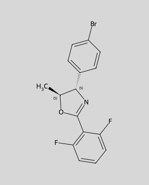 C[C@@H]1OC(c2c(F)cccc2F)=N[C@H]1c1ccc(Br)cc1